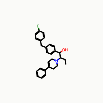 CCC(C(O)c1ccc(Cc2ccc(F)cc2)cc1)N1CC=C(c2ccccc2)CC1